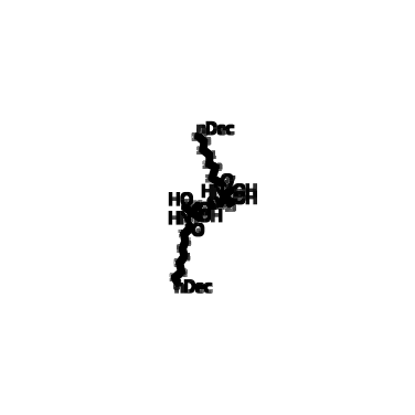 CCCCCCCCCCCCCCCCCC(=O)NC(CO)(CO)COOCC(CO)(CO)NC(=O)CCCCCCCCCCCCCCCCC